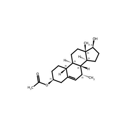 CC(=O)O[C@H]1CC[C@H]2C(=C[C@@H](C)[C@@H]3[C@@H]2CC[C@]2(C)[C@@H](O)CC[C@@H]32)C1